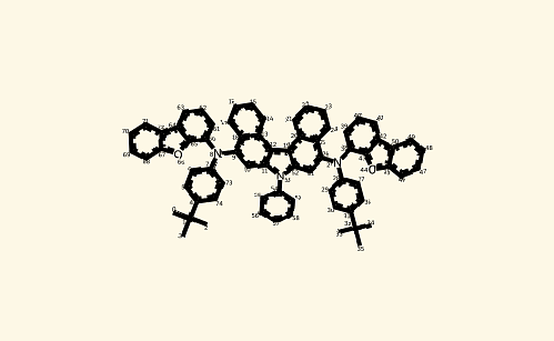 CC(C)(C)c1ccc(N(c2cc3c(c4ccccc24)c2c4ccccc4c(N(c4ccc(C(C)(C)C)cc4)c4cccc5c4oc4ccccc45)cc2n3-c2ccccc2)c2cccc3c2oc2ccccc23)cc1